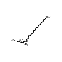 CCCCCCCCCCCCCCCCCCCCCCCCCCNC(C)(C)CCCCCCCCCCCCC